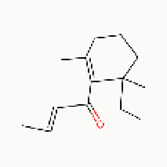 CC=CC(=O)C1=C(C)CCCC1(C)CC